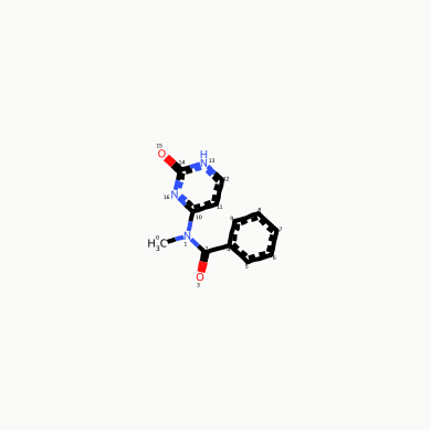 CN(C(=O)c1ccccc1)c1cc[nH]c(=O)n1